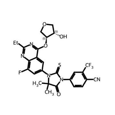 CCc1nc(O[C@H]2COC[C@@H]2O)c2cc(N3C(=S)N(c4ccc(C#N)c(C(F)(F)F)c4)C(=O)C3(C)C)cc(F)c2n1